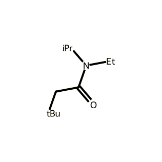 CCN(C(=O)CC(C)(C)C)C(C)C